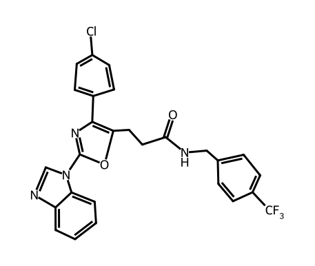 O=C(CCc1oc(-n2cnc3ccccc32)nc1-c1ccc(Cl)cc1)NCc1ccc(C(F)(F)F)cc1